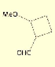 COC1CCC1C=O